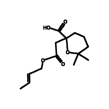 CC=CCOC(=O)CC1(C(=O)O)CCCC(C)(C)O1